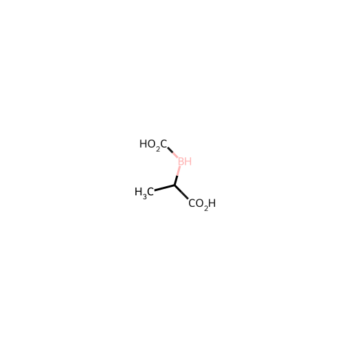 CC(BC(=O)O)C(=O)O